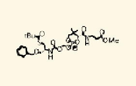 COC(=O)CCNC(=O)[C@@H]1O[P@@](=O)(OCOC(=O)N[C@H](COCc2ccccc2)CSC(=O)C(C)(C)C)OCC1(C)C